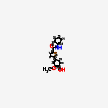 COc1cc(-c2ccc(C(=O)Nc3ccccc3)s2)ccc1O